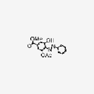 COC(=O)c1cc(O)c(/N=N/c2ccccc2)c(OC(C)=O)c1